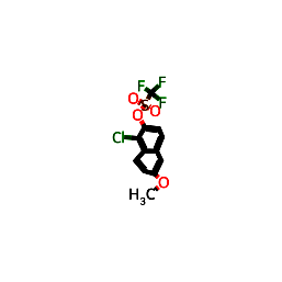 COc1ccc2c(Cl)c(OS(=O)(=O)C(F)(F)F)ccc2c1